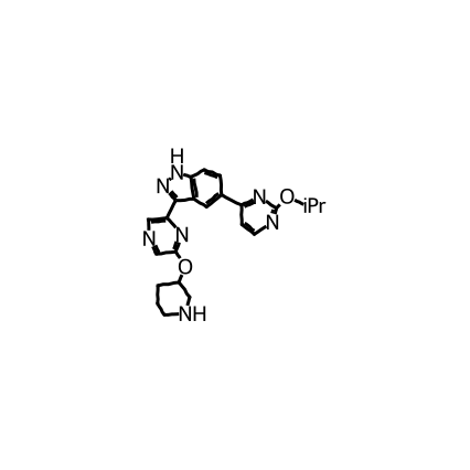 CC(C)Oc1nccc(-c2ccc3[nH]nc(-c4cncc(OC5CCCNC5)n4)c3c2)n1